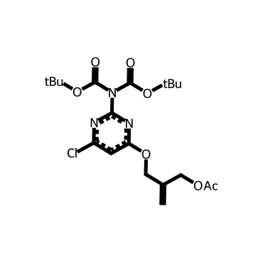 C=C(COC(C)=O)COc1cc(Cl)nc(N(C(=O)OC(C)(C)C)C(=O)OC(C)(C)C)n1